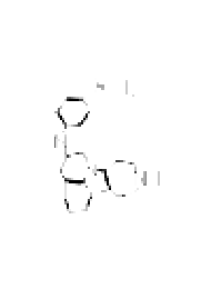 COc1ccc(NC2Cc3cccc4c5c(n(c34)C2)CCNCC5)cc1